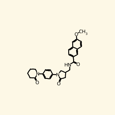 COc1ccc2cc(C(=O)NCC3CC(=O)N(c4ccc(N5CCCCC5=O)cc4)C3)ccc2c1